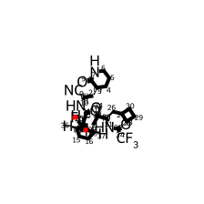 N#C[C@H](C[C@H]1CCCNC1=O)NC(=O)[C@@H]1[C@H]2CC[C@H](CC2(F)F)N1C(=O)[C@@H](CC1CCC1)NC(=O)C(F)(F)F